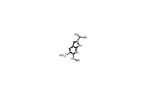 CCCC(CC)n1cc2cc(C(=O)O)c(OC(C)C)nc2n1